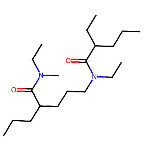 CCCC(CCCN(CC)C(=O)C(CC)CCC)C(=O)N(C)CC